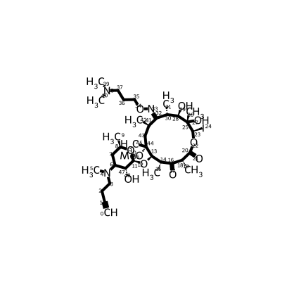 C#CCCN(C)C1C[C@@H](C)O[C@@H](O[C@@H]2[C@@H](C)C(=O)[C@@H](C)C(=O)O[C@H](I)[C@@](C)(O)[C@H](O)[C@@H](C)/C(=N/OCCCN(C)C)[C@H](C)C[C@@]2(C)OC)[C@@H]1O